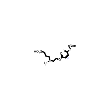 CCCCCCCCCOC(=O)/C=C\C(=O)OCCN(C)CCCS(=O)(=O)O